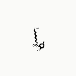 CC1CCC(C(C)C)C(OC(=O)OCCCCCCCO)C1